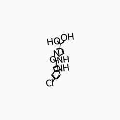 O=C(Nc1ccc(C(O)CO)cn1)c1cc2cc(Cl)ccc2[nH]1